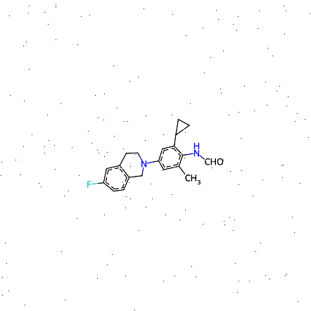 Cc1cc(N2CCc3cc(F)ccc3C2)cc(C2CC2)c1NC=O